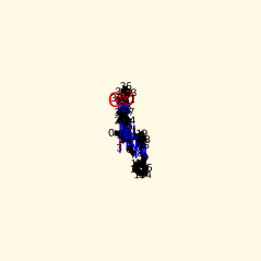 Cc1c(I)c(N2CCN(Cc3ccccc3)CC23CCC3)nn1C1CC2(C1)CN(C(=O)OC(C)(C)C)C2